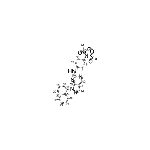 CS(=O)(=O)N(c1ccc(Nc2ncc3cnn(-c4cccc5ccccc45)c3n2)cc1)S(C)(=O)=O